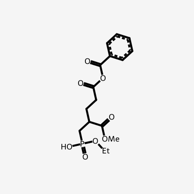 CCOP(=O)(O)CC(CCC(=O)OC(=O)c1ccccc1)C(=O)OC